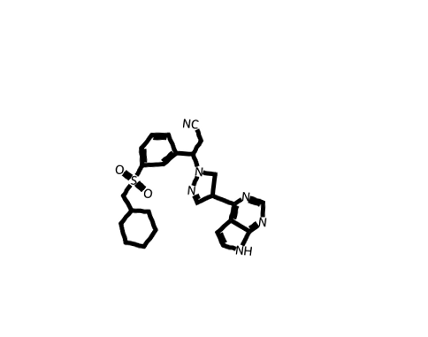 N#CCC(c1cccc(S(=O)(=O)CC2CCCCC2)c1)N1CC(c2ncnc3[nH]ccc23)C=N1